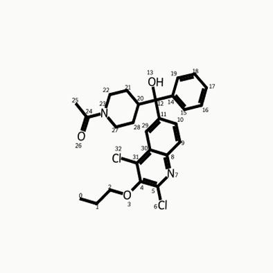 CCCOc1c(Cl)nc2ccc(C(O)(c3ccccc3)C3CCN(C(C)=O)CC3)cc2c1Cl